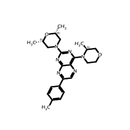 Cc1ccc(-c2cnc3c(N4CCOC[C@@H]4C)nc(N4C[C@@H](C)O[C@@H](C)C4)nc3n2)cc1